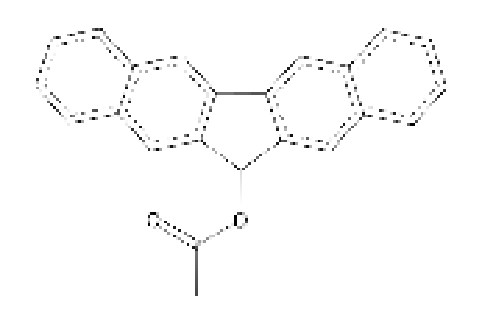 CC(=O)OC1c2cc3ccccc3cc2-c2cc3ccccc3cc21